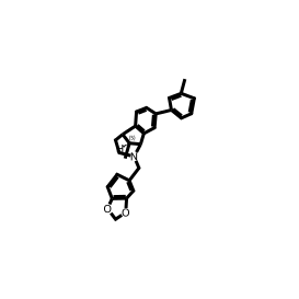 Cc1cccc(-c2ccc3c(c2)C2[C@@H](C)C3CCN2Cc2ccc3c(c2)OCO3)c1